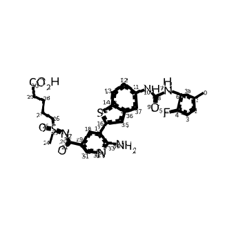 Cc1ccc(F)c(NC(=O)Nc2ccc3sc(-c4cc(C(=O)N=S(C)(=O)CCCCC(=O)O)cnc4N)cc3c2)c1